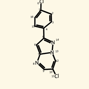 Clc1ccc(-c2cc3ncc(Cl)cn3n2)cc1